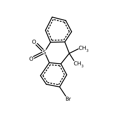 CC1(C)c2ccccc2S(=O)(=O)c2ccc(Br)cc21